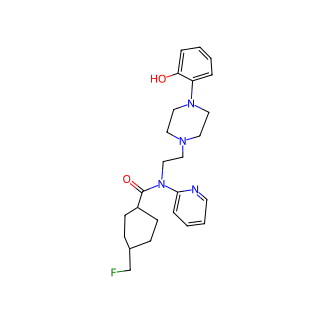 O=C(C1CCC(CF)CC1)N(CCN1CCN(c2ccccc2O)CC1)c1ccccn1